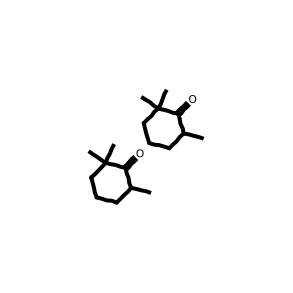 CC1CCCC(C)(C)C1=O.CC1CCCC(C)(C)C1=O